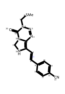 CSCN1N=NC2=C(/C=C/c3ccc(C#N)cc3)NCN2C1=O